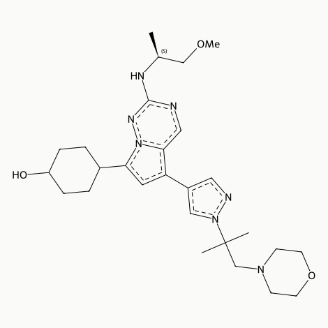 COC[C@H](C)Nc1ncc2c(-c3cnn(C(C)(C)CN4CCOCC4)c3)cc(C3CCC(O)CC3)n2n1